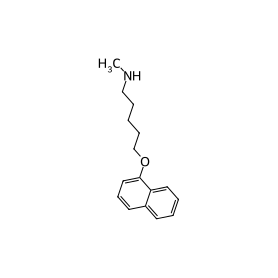 CNCCCCCOc1cccc2ccccc12